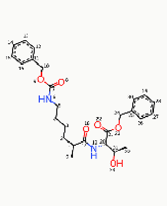 C[C@@H](CCCCNC(=O)OCc1ccccc1)C(=O)N[C@H](C(=O)OCc1ccccc1)[C@@H](C)O